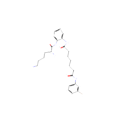 NCCCC[C@H](N)C(=O)Nc1ccccc1NC(=O)CCCCCC(=O)Nc1cccc(Br)c1